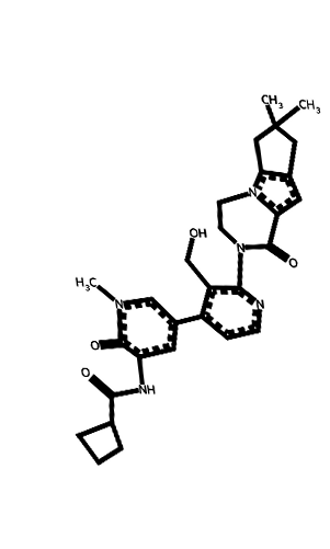 Cn1cc(-c2ccnc(N3CCn4c(cc5c4CC(C)(C)C5)C3=O)c2CO)cc(NC(=O)C2CCC2)c1=O